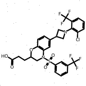 O=C(O)CCC1CN(S(=O)(=O)c2cccc(C(F)(F)F)c2)c2cc(C3CN(c4c(Cl)cccc4C(F)(F)F)C3)ccc2O1